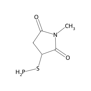 CN1C(=O)CC(SP)C1=O